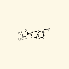 CC(C)CN1CCOC2(CCN(C(=O)OC(C(F)(F)F)C(F)(F)F)CC2)C1